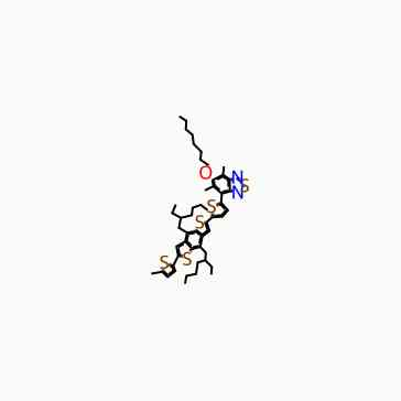 CCCCCCCCOc1c(C)c(-c2ccc(-c3cc4c(CC(CC)CCCC)c5sc(-c6ccc(C)s6)cc5c(CC(CC)CCCC)c4s3)s2)c2nsnc2c1C